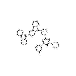 Cc1cccc(-c2nc(-c3ccccc3)nc(-c3cccc(-n4c5ccccc5c5cc(-n6c7ccccc7c7ccccc76)ccc54)c3)n2)c1